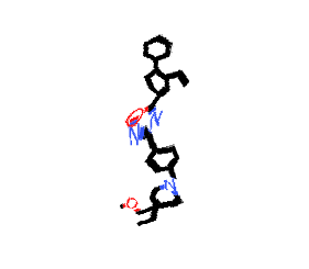 C=Cc1cc(-c2nc(-c3ccc(CN4CCC(CC)(COC)CC4)cc3)no2)ccc1C1CCCCC1